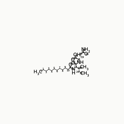 CCCCCCCCCCCC(=O)N[C@H](C(=O)N[C@@H](CCC(N)=O)C(=O)O)[C@@H](C)CC